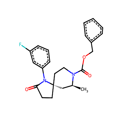 C[C@H]1C[C@@]2(CCC(=O)N2c2cccc(F)c2)CCN1C(=O)OCc1ccccc1